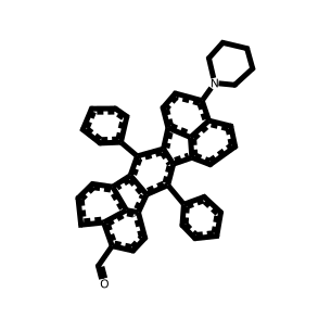 O=Cc1ccc2c3c(-c4ccccc4)c4c5cccc6c(N7CCCCC7)ccc(c4c(-c4ccccc4)c3c3cccc1c23)c65